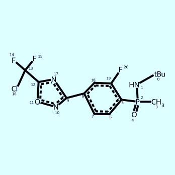 CC(C)(C)NP(C)(=O)c1ccc(-c2noc(C(F)(F)Cl)n2)cc1F